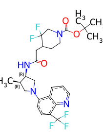 C[C@@H]1CN(c2ccc(C(F)(F)F)c3ncccc23)C[C@@H]1NC(=O)CC1CCN(C(=O)OC(C)(C)C)CC1(F)F